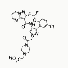 O=C(O)CN1CCN(C(=O)Cn2cc(NC(=O)c3cnn4cccnc34)c(-c3cc(Cl)ccc3OC(F)F)n2)CC1